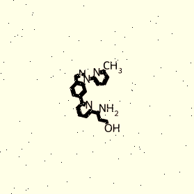 Cc1cccc(-n2ncc3ccc(-c4cccc(C(N)CCO)n4)cc32)n1